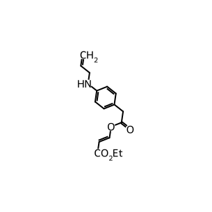 C=CCNc1ccc(CC(=O)OC=CC(=O)OCC)cc1